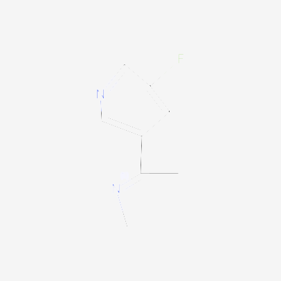 C/N=C(\C)c1cncc(F)c1